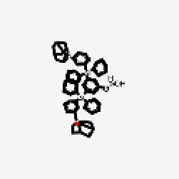 OBOc1cc([Si](c2ccccc2)(c2ccccc2)c2cccc(N3C4CC5CC(C4)CC3C5)c2)cc([Si](c2ccccc2)(c2ccccc2)c2cccc(N3C4CC5CC(C4)CC3C5)c2)c1